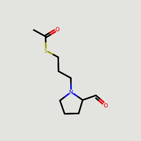 CC(=O)SCCCN1CCCC1C=O